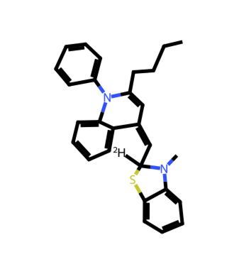 [2H]C1(/C=C2/C=C(CCCC)N(c3ccccc3)c3ccccc32)Sc2ccccc2N1C